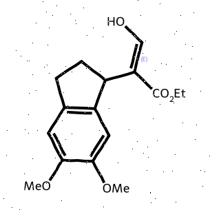 CCOC(=O)/C(=C/O)C1CCc2cc(OC)c(OC)cc21